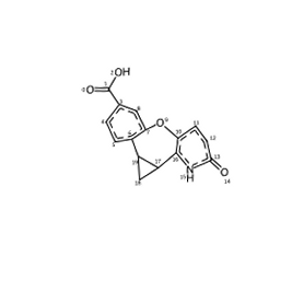 O=C(O)c1ccc2c(c1)Oc1ccc(=O)[nH]c1C1CC21